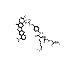 CC[C@@]1(OC(=O)OCc2ccc(NC(=O)[C@H](CCCCN)NC(=O)COCC(N)=O)cc2)C(=O)OCc2c1cc1n(c2=O)Cc2cc3c(N(C)C)cccc3nc2-1